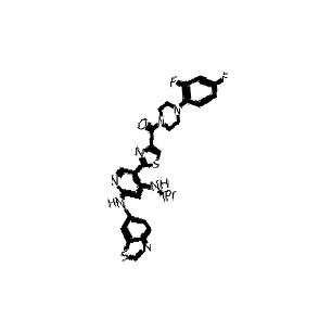 CC(C)Nc1cc(Nc2ccc3ncsc3c2)ncc1-c1nc(C(=O)N2CCN(c3ccc(F)cc3F)CC2)cs1